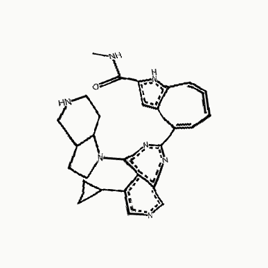 CNC(=O)c1cc2c([nH]1)C=C=CC=C2c1nc(N2CCC3CNCCC32)c2c(C3CC3)cncc2n1